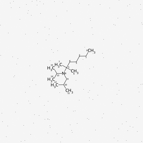 CCCCCC(C)(C)N(CC(C)C)C(C)C